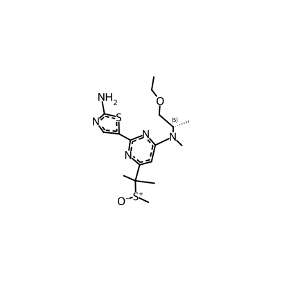 CCOC[C@H](C)N(C)c1cc(C(C)(C)[S+](C)[O-])nc(-c2cnc(N)s2)n1